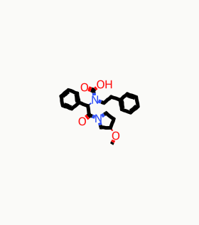 CO[C@H]1CCN(C(=O)[C@H](c2ccccc2)N(CCc2ccccc2)C(=O)O)C1